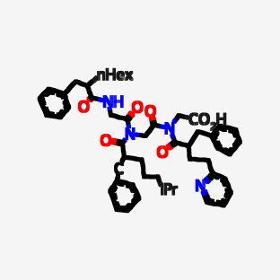 CCCCCCC(Cc1ccccc1)C(=O)NCC(=O)N(CC(=O)N(CC(=O)O)C(=O)C(CCc1ccccn1)Cc1ccccc1)C(=O)C(CCCC(C)C)Cc1ccccc1